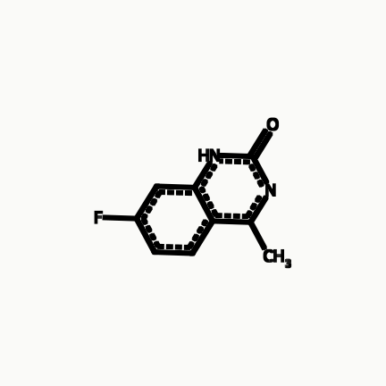 Cc1nc(=O)[nH]c2cc(F)ccc12